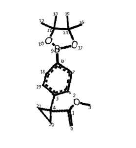 C=C(OC)C1(c2ccc(B3OC(C)(C)C(C)(C)O3)cc2)CC1